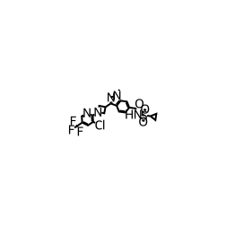 Cn1nc(C2CN(c3ncc(C(F)(F)F)cc3Cl)C2)c2ccc(C(=O)NS(=O)(=O)C3CC3)cc21